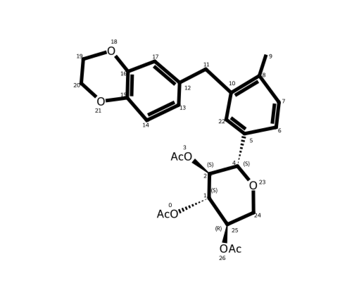 CC(=O)O[C@@H]1[C@@H](OC(C)=O)[C@H](c2ccc(C)c(Cc3ccc4c(c3)OCCO4)c2)OC[C@H]1OC(C)=O